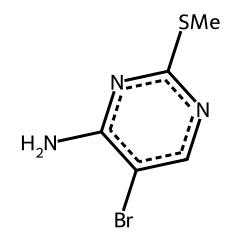 CSc1ncc(Br)c(N)n1